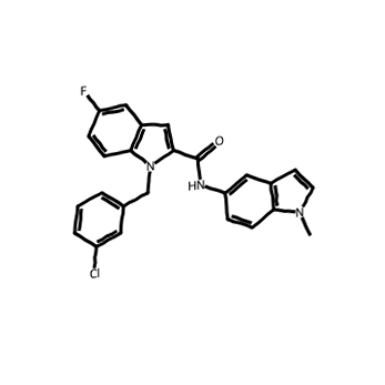 Cn1ccc2cc(NC(=O)c3cc4cc(F)ccc4n3Cc3cccc(Cl)c3)ccc21